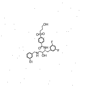 CCc1cccc(CNC[C@H](O)[C@H](Cc2cc(F)cc(F)c2)NC(=O)c2ccc(S(=O)(=O)CCCO)cc2)c1